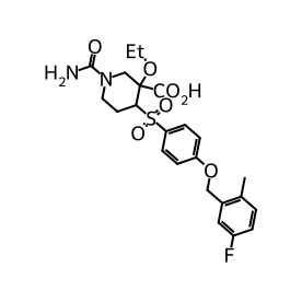 CCOC1(C(=O)O)CN(C(N)=O)CCC1S(=O)(=O)c1ccc(OCc2cc(F)ccc2C)cc1